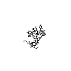 CC(C)CC(C(=O)NC(CCCCNC(=O)OC(C)(C)C)C(=O)N1CCC(NC(=O)OC(C)(C)C)(C(=O)O)CC1)C(=O)C(Cc1ccccc1)C(=O)C(Cc1ccccc1)NC(=O)OCc1ccccc1